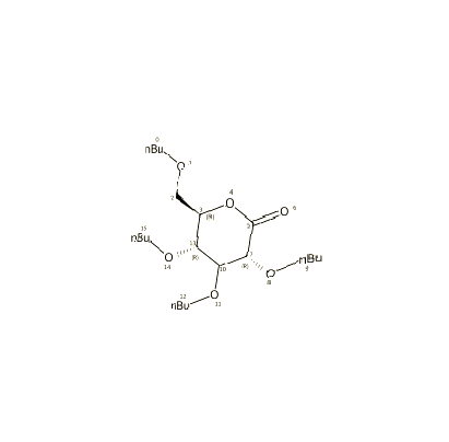 CCCCOC[C@H]1OC(=O)[C@H](OCCCC)C(OCCCC)[C@@H]1OCCCC